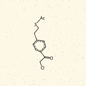 CC(=O)SCCc1ccc(C(=O)CCl)cc1